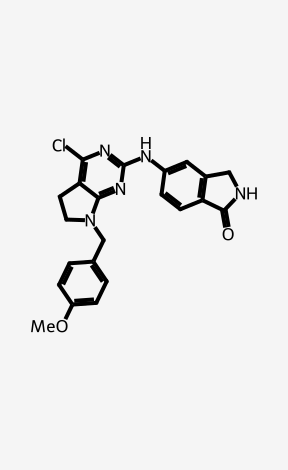 COc1ccc(CN2CCc3c(Cl)nc(Nc4ccc5c(c4)CNC5=O)nc32)cc1